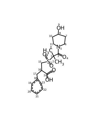 CC(C)(C(=O)N1CCC(O)CC1)S(=O)(=O)CC(Cc1ccccc1)C(=O)O